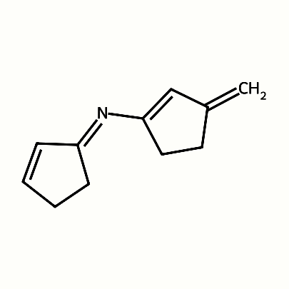 C=C1C=C(/N=C2/C=CCC2)CC1